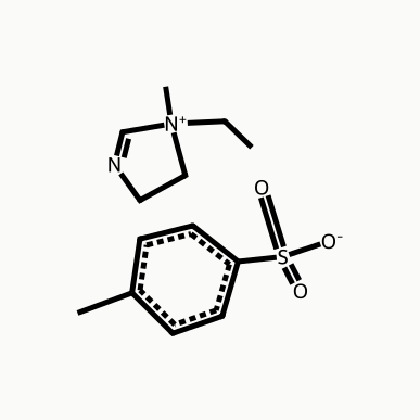 CC[N+]1(C)C=NCC1.Cc1ccc(S(=O)(=O)[O-])cc1